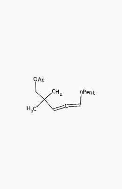 CCCCCC=C=CC(C)(C)COC(C)=O